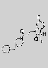 Cc1[nH]c2ccc(F)cc2c1CCC(=O)N1CCN(Cc2ccccc2)CC1